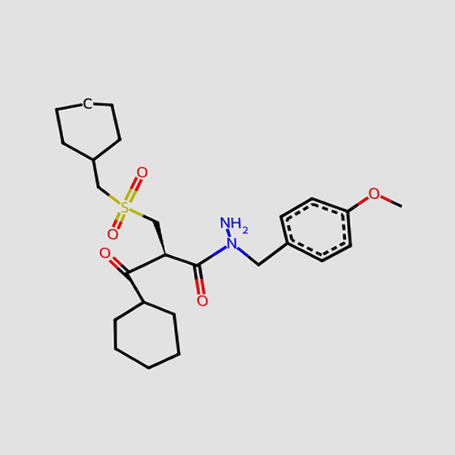 COc1ccc(CN(N)C(=O)[C@H](CS(=O)(=O)CC2CCCCC2)C(=O)C2CCCCC2)cc1